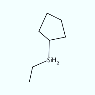 CC[SiH2]C1CCCC1